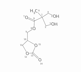 CC(CO)(CO)C(=O)OCC1COC(=O)O1